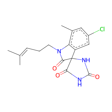 CC(C)=CCCN1C(=O)C2(NC(=O)NC2=O)c2cc(Cl)cc(C)c21